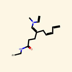 C=C/C=C\C/C(=C\N(C)C=C)CCC(=O)NCC(C)C